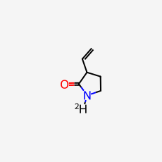 [2H]N1CCC(C=C)C1=O